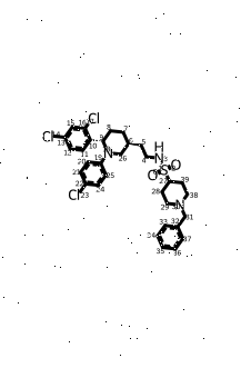 O=S(=O)(NCC[C@@H]1CC[C@@H](c2ccc(Cl)cc2Cl)N(c2ccc(Cl)cc2)C1)C1CCN(Cc2ccccc2)CC1